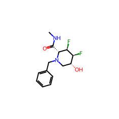 CNC(=O)[C@@H]1[C@@H](F)[C@@H](F)[C@H](O)CN1Cc1ccccc1